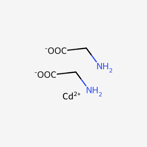 NCC(=O)[O-].NCC(=O)[O-].[Cd+2]